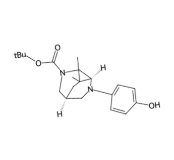 CC(C)(C)OC(=O)N1C[C@@H]2CN(c3ccc(O)cc3)[C@H](C1)C(C)(C)C2